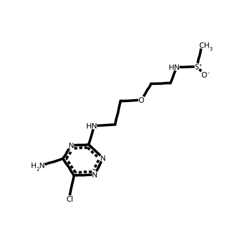 C[S+]([O-])NCCOCCNc1nnc(Cl)c(N)n1